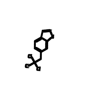 ClC(Cl)(Cl)Cc1ccc2c[c]sc2c1